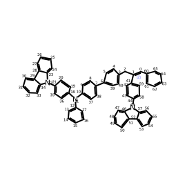 C(=C(\Cc1ccc(-c2ccc(N(c3ccccc3)c3ccc(-n4c5ccccc5c5ccccc54)cc3)cc2)cc1)c1ccc(-n2c3ccccc3c3ccccc32)cc1)/c1ccccc1